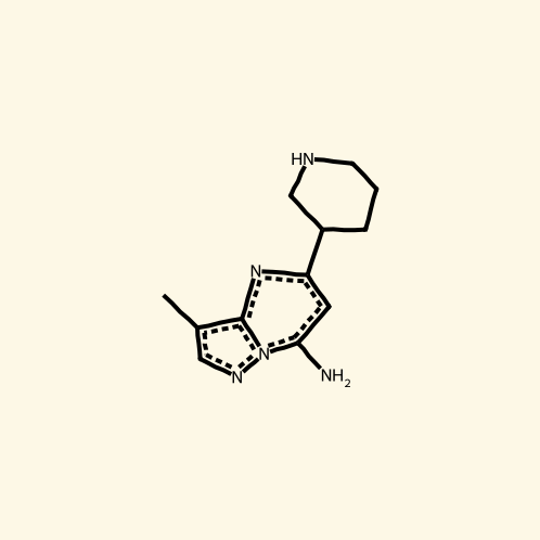 Cc1cnn2c(N)cc(C3CCCNC3)nc12